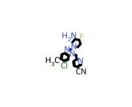 Cc1cc2nc(N3CC[C@@H](F)[C@H](N)C3)n(Cc3ccc(C#N)cn3)c2cc1Cl